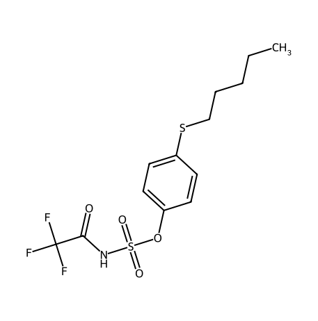 CCCCCSc1ccc(OS(=O)(=O)NC(=O)C(F)(F)F)cc1